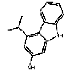 CC(C)c1cc(O)cc2[nH]c3ccccc3c12